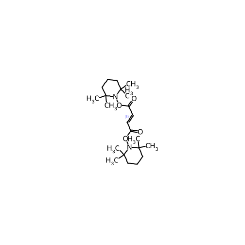 CC1(C)CCCC(C)(C)N1OC(=O)/C=C/C(=O)ON1C(C)(C)CCCC1(C)C